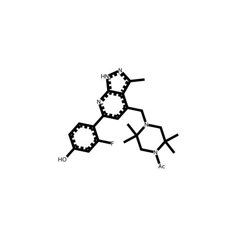 CC(=O)N1CC(C)(C)N(Cc2cc(-c3ccc(O)cc3F)nc3[nH]nc(C)c23)CC1(C)C